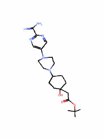 CC(C)(C)OC(=O)CC1(O)CCC(N2CCN(c3cnc(C(=N)N)nc3)CC2)CC1